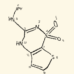 CC(C)NC1=NS(=O)(=O)c2sccc2N1